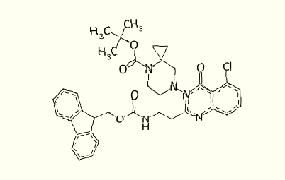 CC(C)(C)OC(=O)N1CCN(n2c(CCNC(=O)OCC3c4ccccc4-c4ccccc43)nc3cccc(Cl)c3c2=O)CC12CC2